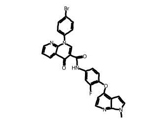 Cn1ccc2c(Oc3ccc(NC(=O)c4cn(-c5ccc(Br)cc5)c5ncccc5c4=O)cc3F)ccnc21